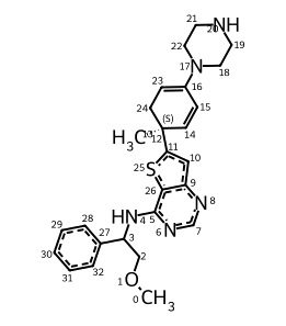 COCC(Nc1ncnc2cc([C@]3(C)C=CC(N4CCNCC4)=CC3)sc12)c1ccccc1